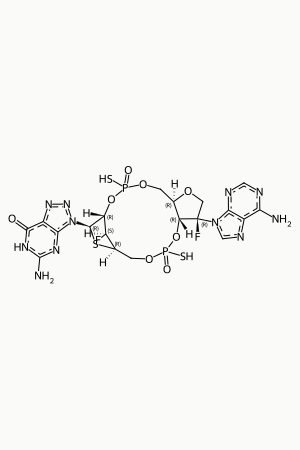 Nc1nc2c(nnn2[C@@H]2S[C@@H]3COP(=O)(S)O[C@@H]4[C@@H](COP(=O)(S)O[C@@H]2[C@@H]3F)OC[C@]4(F)n2cnc3c(N)ncnc32)c(=O)[nH]1